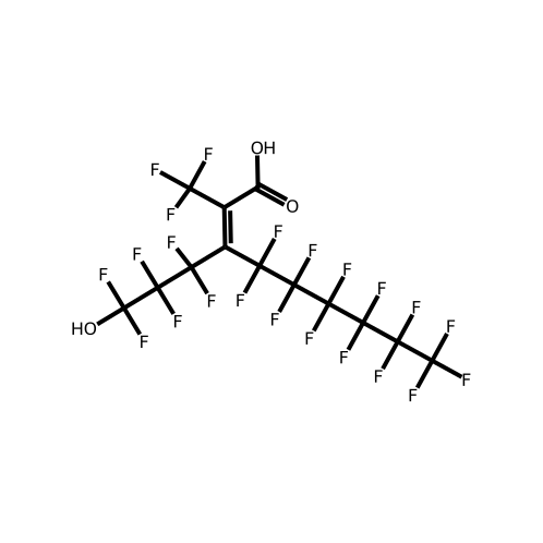 O=C(O)C(=C(C(F)(F)C(F)(F)C(O)(F)F)C(F)(F)C(F)(F)C(F)(F)C(F)(F)C(F)(F)C(F)(F)F)C(F)(F)F